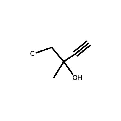 C#CC(C)(O)CCl